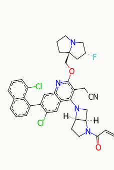 C=CC(=O)N1CC[C@@H]2[C@H]1CN2c1c(CC#N)c(OC[C@@]23CCCN2C[C@H](F)C3)nc2cc(-c3cccc4cccc(Cl)c34)c(Cl)cc12